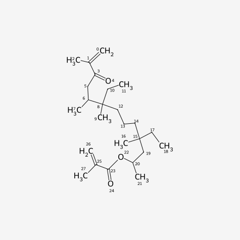 C=C(C)C(=O)CC(C)C(C)(CC)CCCC(C)(CC)CC(C)OC(=O)C(=C)C